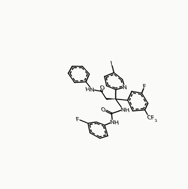 O=C(C[C@](NC(=O)Nc1cccc(F)c1)(c1cc(F)cc(C(F)(F)F)c1)c1ccc(I)cn1)Nc1ccccc1